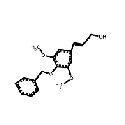 COc1cc(C=CCO)cc(OC)c1OCc1ccccc1